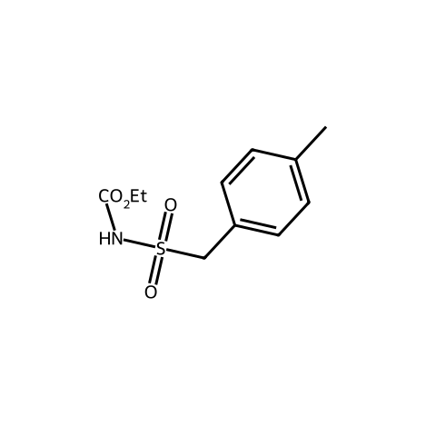 CCOC(=O)NS(=O)(=O)Cc1ccc(C)cc1